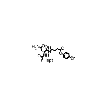 CCCCCCCC(=O)N[C@H](CC(N)=O)C(=O)NCC[C@H](C)C(=O)Oc1ccc(Br)cc1